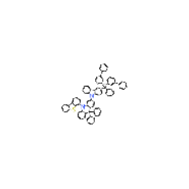 c1ccc(-c2cccc([Si](c3ccccc3)(c3cccc(-c4ccccc4)c3)c3ccc4c(c3)c3ccccc3n4-c3ccc4c(c3)N(c3cccc5c3sc3ccccc35)c3ccccc3C4(c3ccccc3)c3ccccc3)c2)cc1